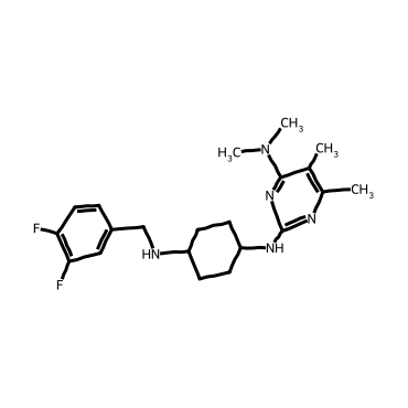 Cc1nc(NC2CCC(NCc3ccc(F)c(F)c3)CC2)nc(N(C)C)c1C